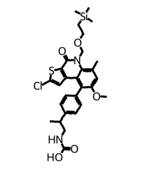 COc1cc(C)c2c(c1-c1ccc(C(C)CNC(=O)O)cc1)c1cc(Cl)sc1c(=O)n2COCC[Si](C)(C)C